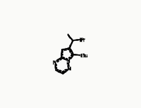 CC(C)C(C)c1cc2nccnn2c1C(C)(C)C